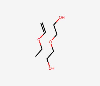 C=COCC.OCCOCCO